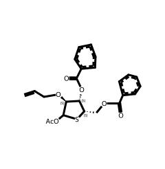 C=CCO[C@@H]1C(OC(C)=O)S[C@@H](COC(=O)c2ccccc2)[C@H]1OC(=O)c1ccccc1